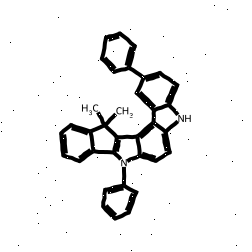 CC1(C)c2ccccc2-c2c1c1c3c(ccc1n2-c1ccccc1)[nH]c1ccc(-c2ccccc2)cc13